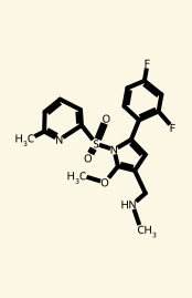 CNCc1cc(-c2ccc(F)cc2F)n(S(=O)(=O)c2cccc(C)n2)c1OC